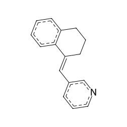 C(=C1CCCc2ccccc21)c1cccnc1